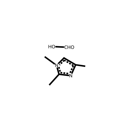 Cc1cn(C)c(C)n1.O=CO